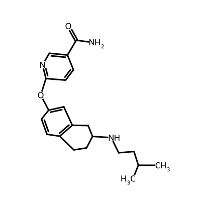 CC(C)CCNC1CCc2ccc(Oc3ccc(C(N)=O)cn3)cc2C1